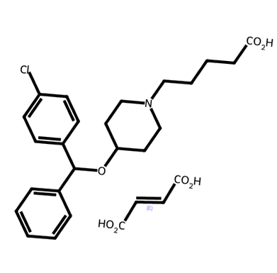 O=C(O)/C=C/C(=O)O.O=C(O)CCCCN1CCC(OC(c2ccccc2)c2ccc(Cl)cc2)CC1